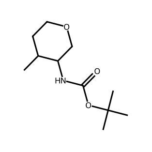 CC1CCOCC1NC(=O)OC(C)(C)C